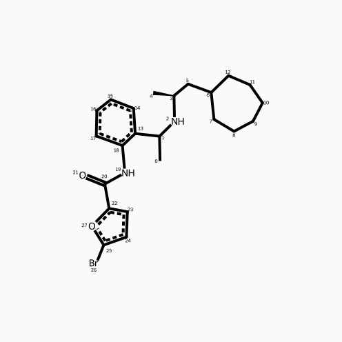 CC(N[C@@H](C)CC1CCCCCC1)c1ccccc1NC(=O)c1ccc(Br)o1